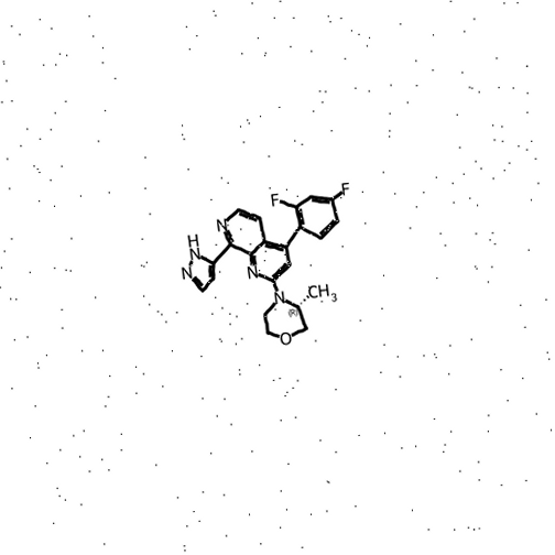 C[C@@H]1COCCN1c1cc(-c2ccc(F)cc2F)c2ccnc(-c3ccn[nH]3)c2n1